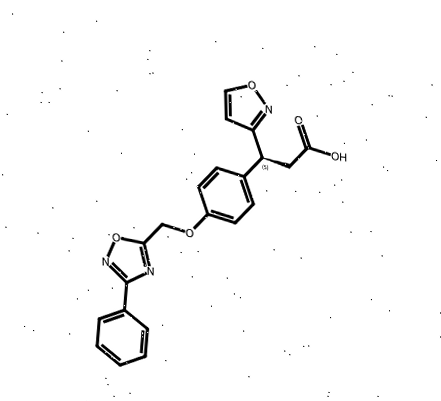 O=C(O)C[C@@H](c1ccc(OCc2nc(-c3ccccc3)no2)cc1)c1ccon1